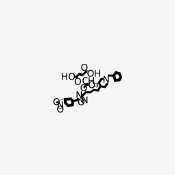 CC(=O)OC(CCCC1CCN(Cc2ccccc2)CC1)c1noc(-c2ccc([N+](=O)[O-])cc2)n1.O=C(O)/C=C/C(=O)O